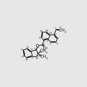 C=Cc1cccc2c(C(=O)OC3c4ccccc4CC3(C)C)cccc12